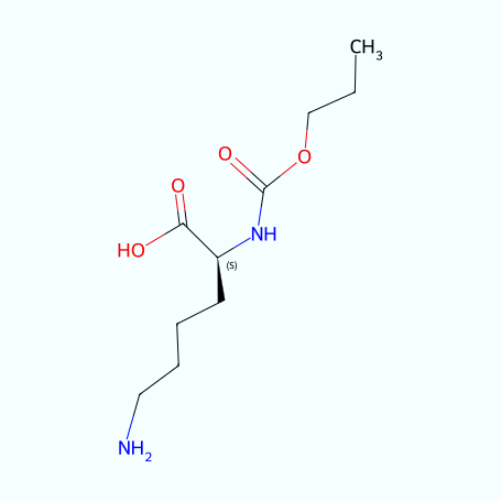 CCCOC(=O)N[C@@H](CCCCN)C(=O)O